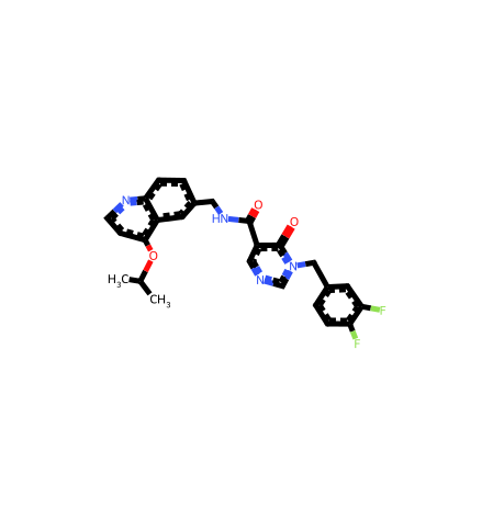 CC(C)Oc1ccnc2ccc(CNC(=O)c3cncn(Cc4ccc(F)c(F)c4)c3=O)cc12